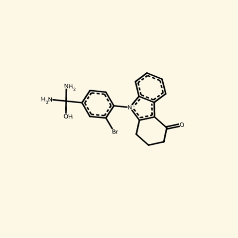 NC(N)(O)c1ccc(-n2c3c(c4ccccc42)C(=O)CCC3)c(Br)c1